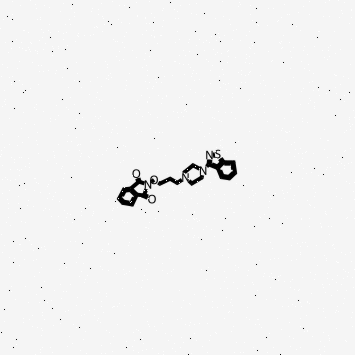 O=C1c2ccccc2C(=O)N1OCCCN1CCN(c2nsc3ccccc23)CC1